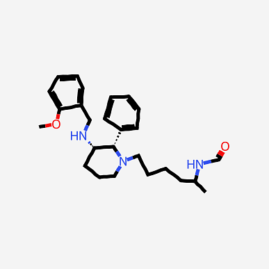 COc1ccccc1CN[C@H]1CCCN(CCCCC(C)NC=O)[C@H]1c1ccccc1